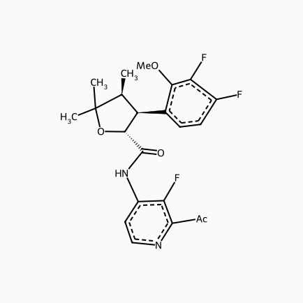 COc1c([C@H]2[C@H](C(=O)Nc3ccnc(C(C)=O)c3F)OC(C)(C)[C@H]2C)ccc(F)c1F